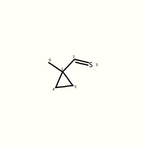 CC1(C=S)CC1